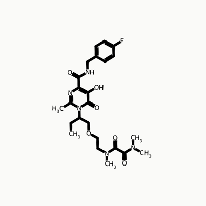 CCC(COCCN(C)C(=O)C(=O)N(C)C)n1c(C)nc(C(=O)NCc2ccc(F)cc2)c(O)c1=O